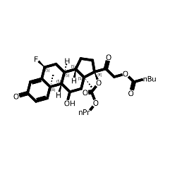 CCCCC(=O)OCC(=O)[C@@]1(OC(=O)OCCC)CC[C@H]2[C@@H]3C[C@H](F)C4=CC(=O)C=C[C@]4(C)[C@H]3C(O)C[C@@]21C